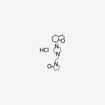 Cl.O=C1CCCN1CCN1CCN(c2cccc3ccoc23)CC1